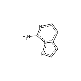 Nc1nccc2ccnn12